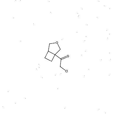 O=C(CCl)C12CCC1COC2